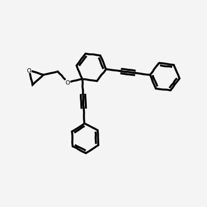 C(#Cc1ccccc1)C1=CC=CC(C#Cc2ccccc2)(OCC2CO2)C1